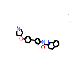 CN1CCC(Oc2ccc(-c3ccc(NC(=O)c4ccc5ccccc5c4)cc3)cc2)CC1